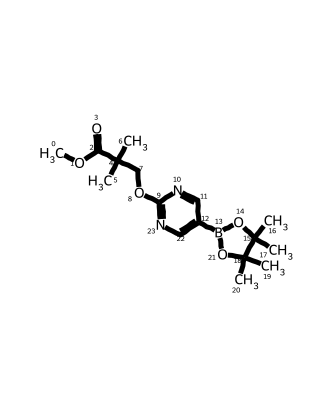 COC(=O)C(C)(C)COc1ncc(B2OC(C)(C)C(C)(C)O2)cn1